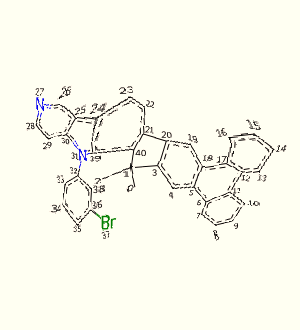 CC1(C)c2cc3c4ccccc4c4ccccc4c3cc2-c2ccc3c4cnccc4n(-c4cccc(Br)c4)c3c21